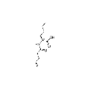 C=CCCC(=O)N[C@@H](CCCC)C(=O)O